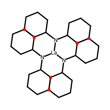 C1CCC([N](C2CCCCC2)[La]([N](C2CCCCC2)C2CCCCC2)[N](C2CCCCC2)C2CCCCC2)CC1